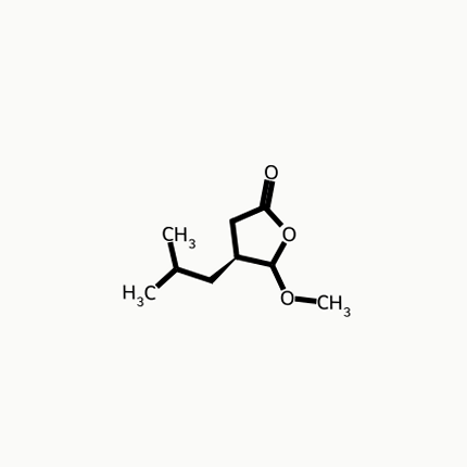 COC1OC(=O)C[C@@H]1CC(C)C